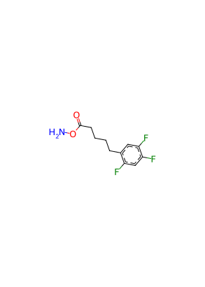 NOC(=O)CCCCc1cc(F)c(F)cc1F